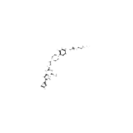 CNCCNC(=O)COc1ccc(N2CCN(CCNc3nc(N)n4nc(-c5ccco5)cc4n3)CC2)c(F)c1